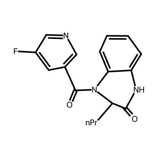 CCCC1C(=O)Nc2ccccc2N1C(=O)c1cncc(F)c1